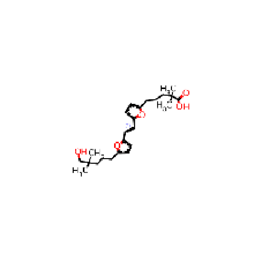 CC(C)(CO)CCCc1ccc(/C=C/c2ccc(CCCC(C)(C)C(=O)O)o2)o1